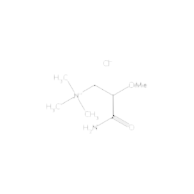 COC(C[N+](C)(C)C)C(N)=O.[Cl-]